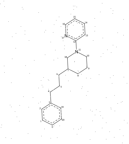 c1ccc(CCCC2CCCN(c3ccccn3)C2)cc1